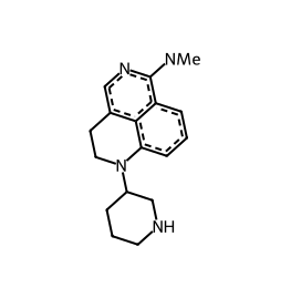 CNc1ncc2c3c(cccc13)N(C1CCCNC1)CC2